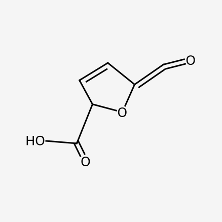 O=C=C1C=CC(C(=O)O)O1